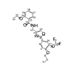 CCCOc1ccc(-c2nc(CNC(=O)c3ccccc3OCC)co2)cc1OC(F)F